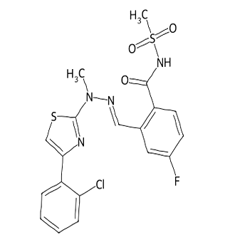 CN(N=Cc1cc(F)ccc1C(=O)NS(C)(=O)=O)c1nc(-c2ccccc2Cl)cs1